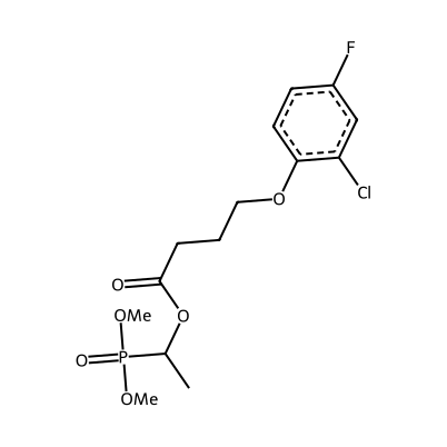 COP(=O)(OC)C(C)OC(=O)CCCOc1ccc(F)cc1Cl